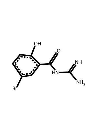 N=C(N)NC(=O)c1cc(Br)ccc1O